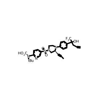 C#CCC(O)(c1ccc(N2CCN(S(=O)(=O)c3ccc(N(C(=O)O)C(C)(C)C)nc3)C[C@@H]2C#CC)cc1)C(F)(F)F